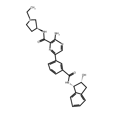 CCN1CC[C@H](NC(=O)c2nc(-c3cccc(C(=O)N[C@H]4c5ccccc5C[C@H]4O)c3)cnc2N)C1